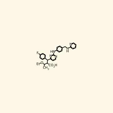 CCOC(C)C(C(=O)O)C(c1ccc(F)cc1)c1ccnc(Nc2ccc(CNc3ccccn3)cc2)n1